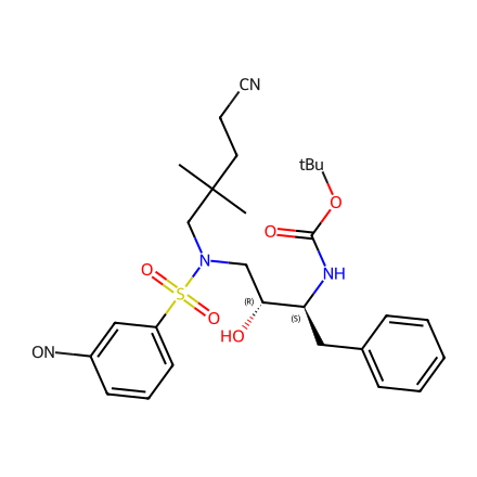 CC(C)(CCC#N)CN(C[C@@H](O)[C@H](Cc1ccccc1)NC(=O)OC(C)(C)C)S(=O)(=O)c1cccc(N=O)c1